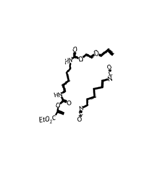 C=CCOCCOC(=O)NCCCCCNC(=O)OC(=C)C(=O)OCC.O=C=NCCCCCCN=C=O